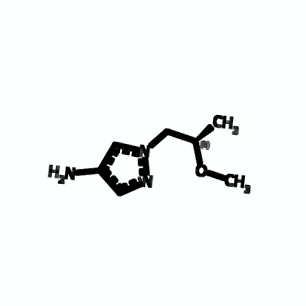 CO[C@H](C)Cn1cc(N)cn1